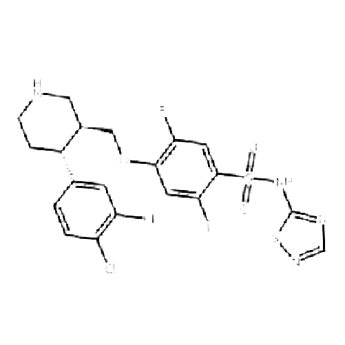 O=S(=O)(Nc1ncns1)c1cc(F)c(OC[C@@H]2CNCC[C@H]2c2ccc(Cl)c(Cl)c2)cc1F